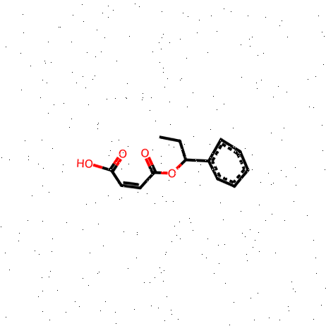 CCC(OC(=O)/C=C\C(=O)O)c1ccccc1